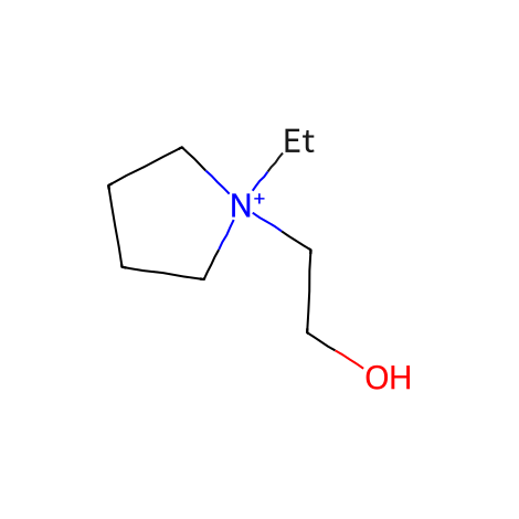 CC[N+]1(CCO)CCCC1